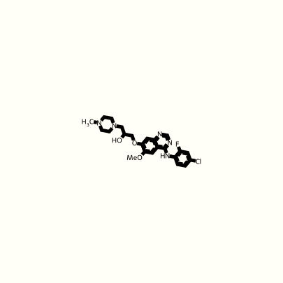 COc1cc2c(Nc3ccc(Cl)cc3F)ncnc2cc1OCC(O)CN1CCN(C)CC1